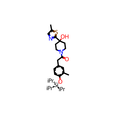 Cc1cnc(C2(O)CCN(C(=O)Cc3ccc(O[Si](C(C)C)(C(C)C)C(C)C)c(C)c3)CC2)s1